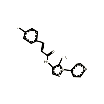 Cc1c(NC(=O)C=Cc2ccc(Cl)cc2)cnn1-c1ccncc1